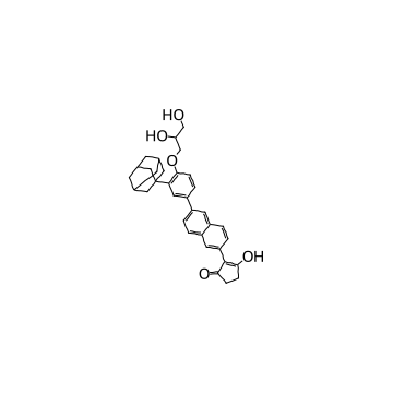 O=C1CCC(O)=C1c1ccc2cc(-c3ccc(OCC(O)CO)c(C45CC6CC(CC(C6)C4)C5)c3)ccc2c1